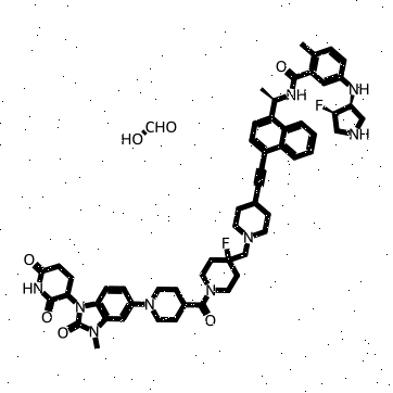 Cc1ccc(N[C@H]2CNC[C@H]2F)cc1C(=O)N[C@H](C)c1ccc(C#CC2CCN(CC3(F)CCN(C(=O)C4CCN(c5ccc6c(c5)n(C)c(=O)n6C5CCC(=O)NC5=O)CC4)CC3)CC2)c2ccccc12.O=CO